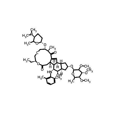 CC[C@H]1CCC[C@H](O[C@H]2CC[C@H](N(C)C)C(C)O2)[C@@H](C)C(=O)C2=C[C@H]3[C@@H]4C[C@H](O[C@@H]5OC(C)[C@H](OC)[C@@H](OC)C5OC)C[C@H]4[C@@H](O)[C@H](Nc4c(C)cccc4C)[C@H]3[C@@H]2CC(=O)O1